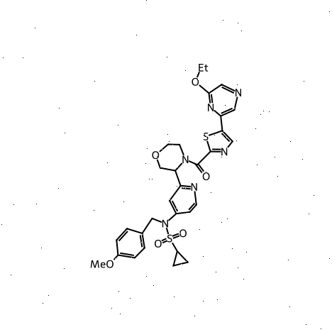 CCOc1cncc(-c2cnc(C(=O)N3CCOCC3c3cc(N(Cc4ccc(OC)cc4)S(=O)(=O)C4CC4)ccn3)s2)n1